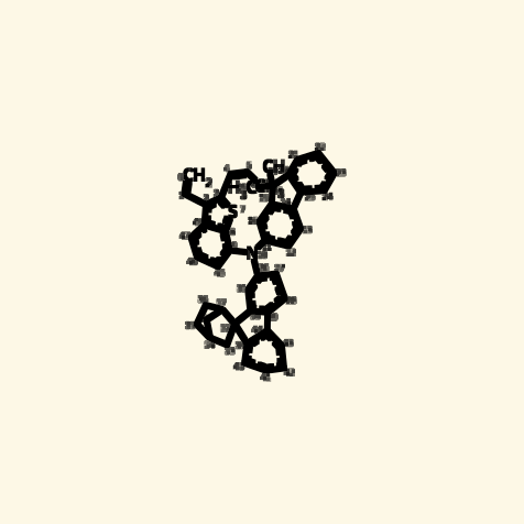 C=Cc1c(/C=C\C)sc2c(N(c3ccc4c(c3)C(C)(C)c3ccccc3-4)c3ccc4c(c3)C3(CC5CCC3C5)c3ccccc3-4)cccc12